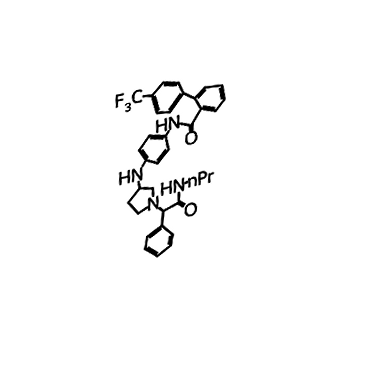 CCCNC(=O)C(c1ccccc1)N1CCC(Nc2ccc(NC(=O)c3ccccc3-c3ccc(C(F)(F)F)cc3)cc2)C1